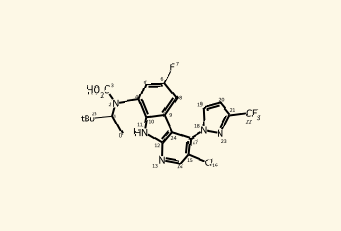 CC(N(C(=O)O)c1cc(F)cc2c1[nH]c1ncc(Cl)c(-n3ccc(C(F)(F)F)n3)c12)C(C)(C)C